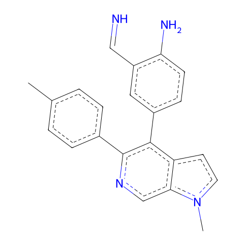 Cc1ccc(-c2ncc3c(ccn3C)c2-c2ccc(N)c(C=N)c2)cc1